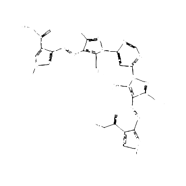 COC(=O)c1cn(C)nc1/N=N/c1c(C)nn(-c2cc(-n3nc(C)c(/N=N/c4nn(C)cc4C(=O)CO)c3N)ncn2)c1N